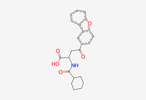 O=C(CC(NC(=O)C1CCCCC1)C(=O)O)c1ccc2oc3ccccc3c2c1